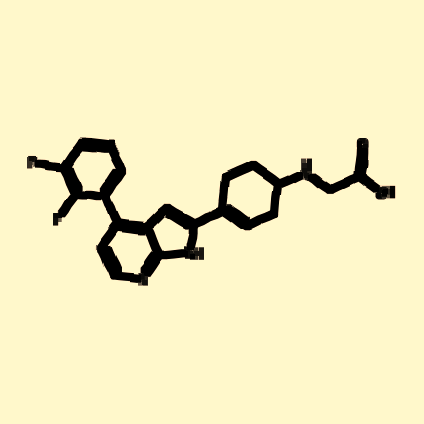 O=C(O)CNC1CC=C(c2cc3c(-c4cccc(F)c4F)ccnc3[nH]2)CC1